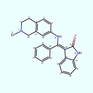 CCN1CCc2ccc(NC(=C3C(=O)Nc4ccccc43)c3ccccc3)cc2C1